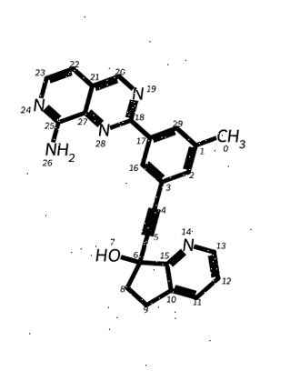 Cc1cc(C#CC2(O)CCc3cccnc32)cc(-c2ncc3ccnc(N)c3n2)c1